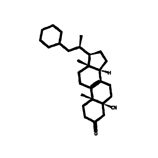 C[C@H](CC1CCCCC1)[C@H]1CC[C@H]2C3=C(CC[C@]12C)[C@@]1(C)CCC(=O)C[C@]1(C#N)CC3